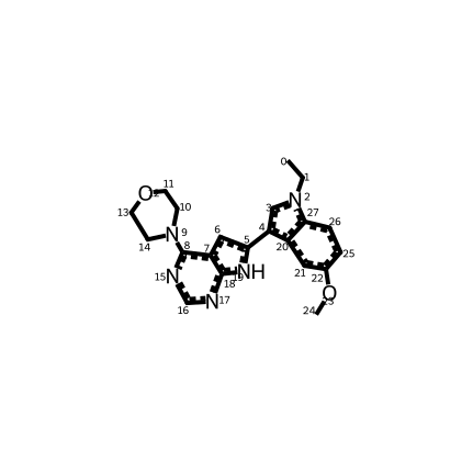 CCn1cc(-c2cc3c(N4CCOCC4)ncnc3[nH]2)c2cc(OC)ccc21